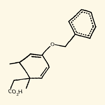 CC1C=C(OCc2ccccc2)C=CC1(C)CC(=O)O